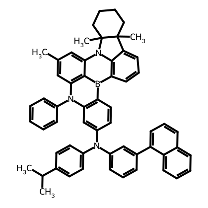 Cc1cc2c3c(c1)N1c4c(cccc4C4(C)CCCCC14C)B3c1ccc(N(c3ccc(C(C)C)cc3)c3cccc(-c4cccc5ccccc45)c3)cc1N2c1ccccc1